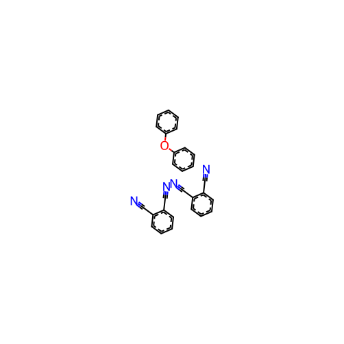 N#Cc1ccccc1C#N.N#Cc1ccccc1C#N.c1ccc(Oc2ccccc2)cc1